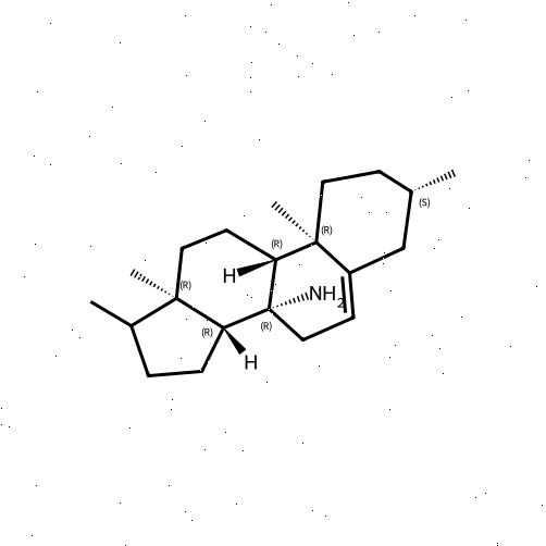 CC1CC[C@H]2[C@]3(N)CC=C4C[C@@H](C)CC[C@]4(C)[C@H]3CC[C@]12C